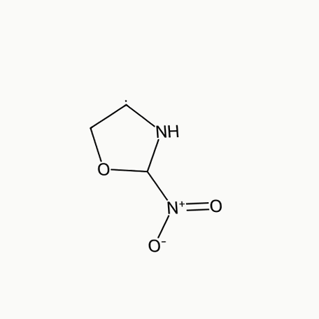 O=[N+]([O-])C1N[CH]CO1